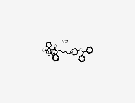 COC(=O)C1(n2c(=O)c3ccccc3n(CCCCN3CCC(OC(c4ccccc4)c4ccccc4)CC3)c2=O)CCCC1.Cl